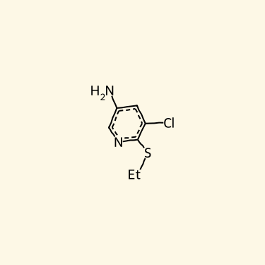 CCSc1ncc(N)cc1Cl